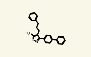 Cc1onc(-c2ccc(-c3ccccc3)cc2)c1CCCc1ccccc1